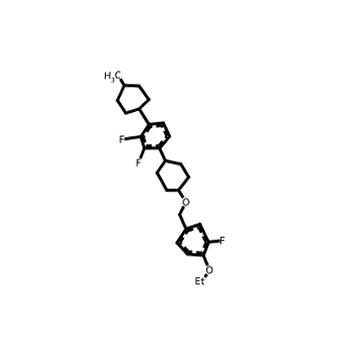 CCOc1ccc(COC2CCC(c3ccc(C4CCC(C)CC4)c(F)c3F)CC2)cc1F